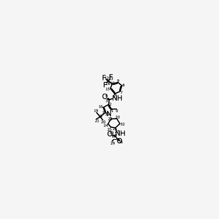 Cc1c(C(=O)Nc2cccc(C(F)(F)F)c2)cc(C(C)(C)C)n1[C@H]1CC[C@H](NS(C)(=O)=O)CC1